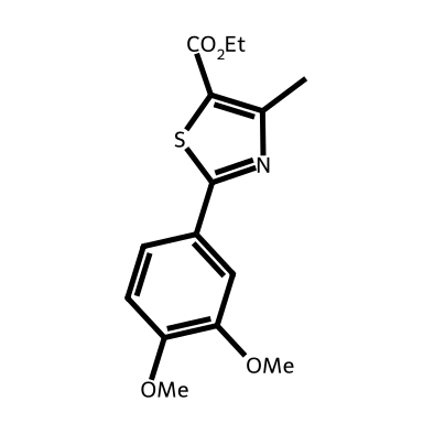 CCOC(=O)c1sc(-c2ccc(OC)c(OC)c2)nc1C